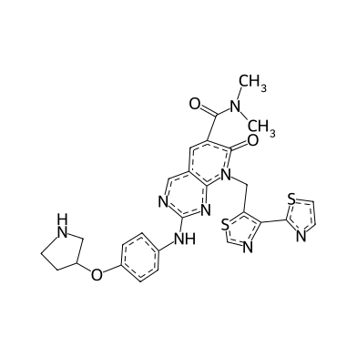 CN(C)C(=O)c1cc2cnc(Nc3ccc(OC4CCNC4)cc3)nc2n(Cc2scnc2-c2nccs2)c1=O